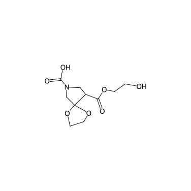 O=C(OCCO)C1CN(C(=O)O)CC12OCCO2